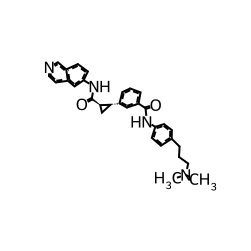 CN(C)CCCc1ccc(NC(=O)c2cccc([C@@H]3C[C@H]3C(=O)Nc3ccc4cnccc4c3)c2)cc1